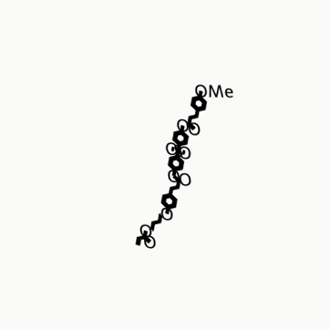 C=CC(=O)OCCCCOc1ccc(CCC(=O)Oc2ccc(S(=O)(=O)c3ccc(OC(=O)CCc4ccc(OC)cc4)cc3)cc2)cc1